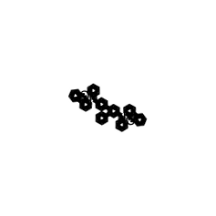 c1ccc(-c2cc(N(c3ccccc3)c3cccc4c3oc3ccccc34)ccc2-c2ccc(N(c3ccccc3)c3cccc4c3oc3ccccc34)cc2)cc1